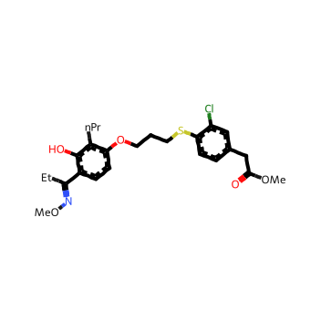 CCCc1c(OCCCSc2ccc(CC(=O)OC)cc2Cl)ccc(C(CC)=NOC)c1O